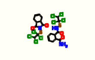 NC(=O)C1CC=CCC1C(=O)NSC(Cl)(Cl)C(Cl)Cl.O=C1C2CC=CCC2C(=O)N1SC(Cl)(Cl)C(Cl)Cl